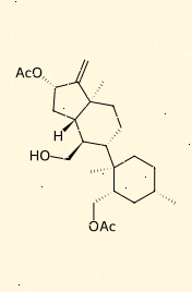 C=C1[C@@H](OC(C)=O)C[C@H]2[C@H](CO)[C@@H]([C@@]3(C)CC[C@H](C)C[C@@H]3COC(C)=O)CC[C@]12C